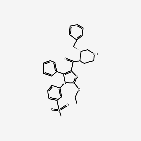 CCOc1nc(C(=O)N2CCNC[C@H]2Cc2ccccc2)c(-c2ccccc2)n1-c1cccc(S(C)(=O)=O)c1